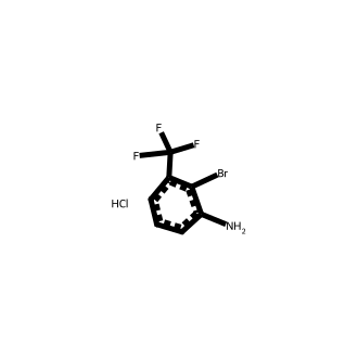 Cl.Nc1cccc(C(F)(F)F)c1Br